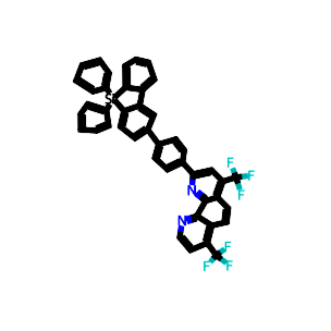 FC(F)(F)c1ccnc2c1ccc1c(C(F)(F)F)cc(-c3ccc(-c4ccc5c(c4)-c4ccccc4[Si]5(c4ccccc4)c4ccccc4)cc3)nc12